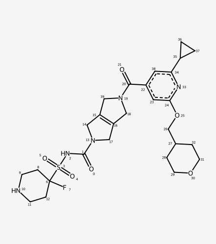 O=C(NS(=O)(=O)C1(F)CCNCC1)N1CC2=C(C1)CN(C(=O)c1cc(OCC3CCOCC3)nc(C3CC3)c1)C2